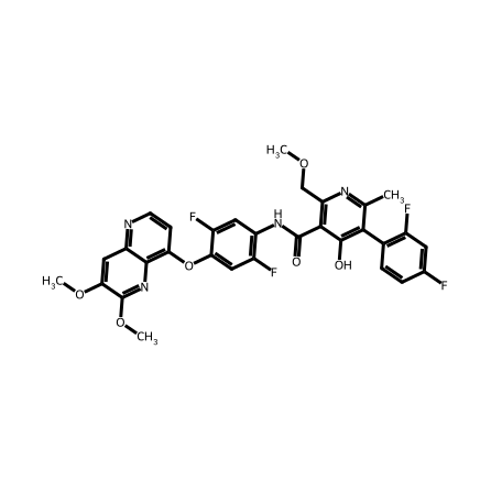 COCc1nc(C)c(-c2ccc(F)cc2F)c(O)c1C(=O)Nc1cc(F)c(Oc2ccnc3cc(OC)c(OC)nc23)cc1F